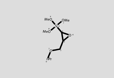 CCCOCC1OC1[Si](OC)(OC)OC